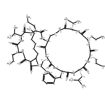 CCCCCCC1OC(=O)C1C(=O)N[C@@H](CCN)C(=O)N[C@H](C(=O)N[C@@H](CCN)C(=O)N[C@H]1CCNC(=O)[C@H](C(C)O)NC(=O)[C@H](CCN)NC(=O)[C@H](CCN)NC(=O)[C@H](CC(C)C)NC(=O)[C@@H](Cc2ccccc2)NC(=O)[C@H](CCN)NC1=O)C(C)O